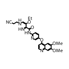 CCO/C(=C/NCCC#N)C(=N)C(=O)Nc1ccc(Oc2ccnc3cc(OC)c(OC)cc23)cn1